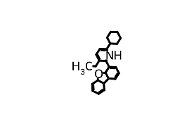 CCC1=CC=C(C2CCCCC2)NC1C1=CC=CC2C1OC1C=CC=CC12